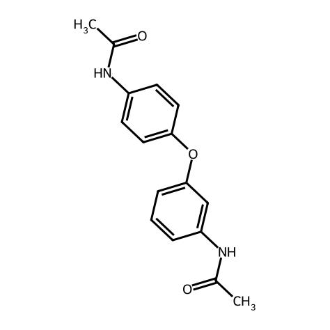 CC(=O)Nc1ccc(Oc2cccc(NC(C)=O)c2)cc1